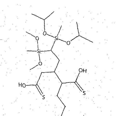 CCCC(C(O)=S)C(CC(O)=S)CC([Si](C)(OC)OC)[Si](C)(OC(C)C)OC(C)C